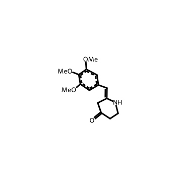 COc1cc(/C=C2\CC(=O)CCN2)cc(OC)c1OC